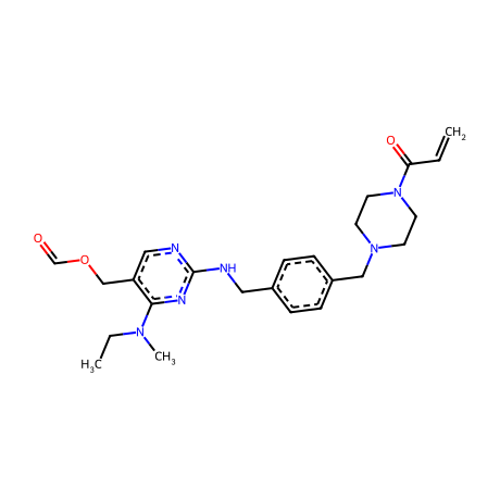 C=CC(=O)N1CCN(Cc2ccc(CNc3ncc(COC=O)c(N(C)CC)n3)cc2)CC1